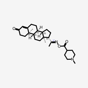 C/C(=N\OC(=O)C1CCN(C)CC1)[C@H]1CC[C@H]2[C@@H]3CCC4=CC(=O)CC[C@]4(C)[C@H]3CC[C@]12C